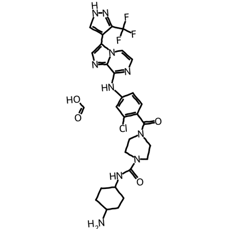 NC1CCC(NC(=O)N2CCN(C(=O)c3ccc(Nc4nccn5c(-c6c[nH]nc6C(F)(F)F)cnc45)cc3Cl)CC2)CC1.O=CO